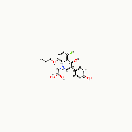 CCCOc1ccc(F)c2c(=O)c(-c3ccc(O)cc3)cn(CC(=O)O)c12